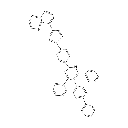 c1ccc(-c2ccc(-c3c(-c4ccccc4)nc(-c4ccc(-c5ccc(-c6cccc7cccnc67)cc5)cc4)nc3-c3ccccc3)cc2)cc1